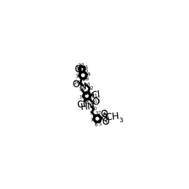 CS(=O)(=O)c1cccc(CCNC(=O)c2c(Cl)cc3c(c2Cl)CCN(C(=O)c2ccc4ccoc4c2)C3)c1